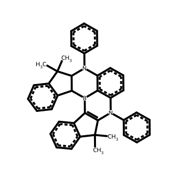 CC1(C)C2=C(B3c4c(cccc4N(c4ccccc4)C4C3c3ccccc3C4(C)C)N2c2ccccc2)c2ccccc21